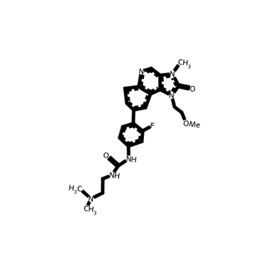 COCCn1c(=O)n(C)c2cnc3ccc(-c4ccc(NC(=O)NCCN(C)C)cc4F)cc3c21